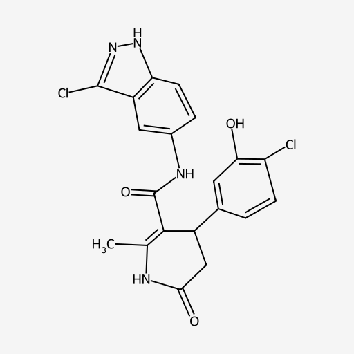 CC1=C(C(=O)Nc2ccc3[nH]nc(Cl)c3c2)C(c2ccc(Cl)c(O)c2)CC(=O)N1